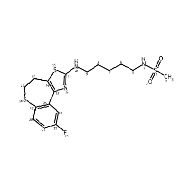 CS(=O)(=O)NCCCCCNc1nc2c(s1)CCSc1ccc(F)cc1-2